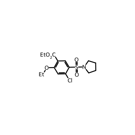 CCOC(=O)c1cc(S(=O)(=O)N2CCCC2)c(Cl)cc1OCC